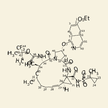 CCOc1ccc2c(O[C@@H]3C[C@H]4C(=O)N[C@]5(C(=O)NS(=O)(=O)C6(C)CC6)C[C@H]5/C=C\CC[C@H](C)C[C@@H](C)[C@H](NC(=O)OC(C)(C)C(F)(F)F)C(=O)N4C3)nccc2c1